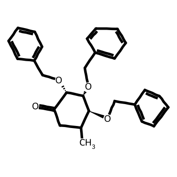 CC1CC(=O)[C@H](OCc2ccccc2)[C@H](OCc2ccccc2)[C@H]1OCc1ccccc1